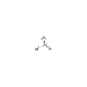 S=C(Br)Br